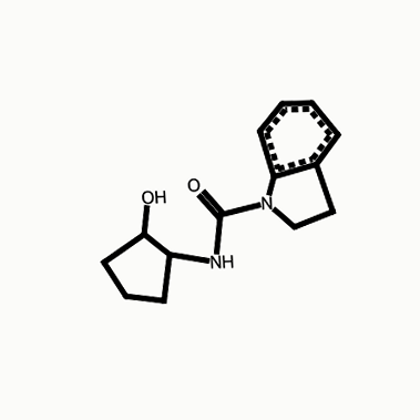 O=C(NC1CCCC1O)N1CCc2ccccc21